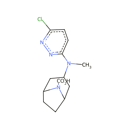 CN(c1ccc(Cl)nn1)C1CC2CCC(C1)N2C(=O)O